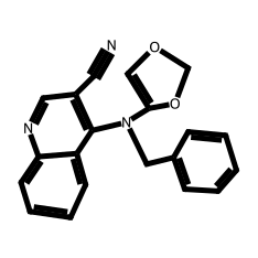 N#Cc1cnc2ccccc2c1N(Cc1ccccc1)C1=COCO1